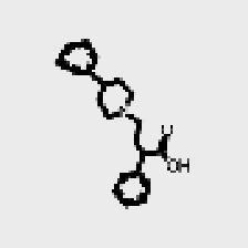 O=C(O)C(CCN1CCC(c2ccccc2)CC1)c1ccccc1